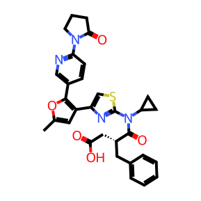 Cc1cc(-c2csc(N(C(=O)[C@@H](CC(=O)O)Cc3ccccc3)C3CC3)n2)c(-c2ccc(N3CCCC3=O)nc2)o1